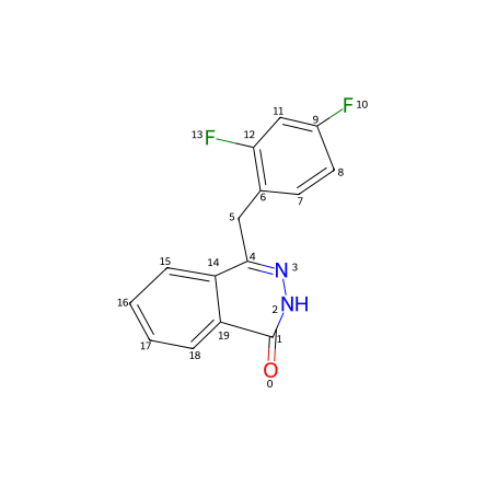 O=c1[nH]nc(Cc2ccc(F)cc2F)c2ccccc12